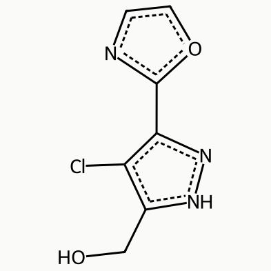 OCc1[nH]nc(-c2ncco2)c1Cl